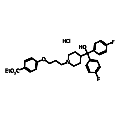 CCOC(=O)c1ccc(OCCCN2CCC(C(O)(c3ccc(F)cc3)c3ccc(F)cc3)CC2)cc1.Cl